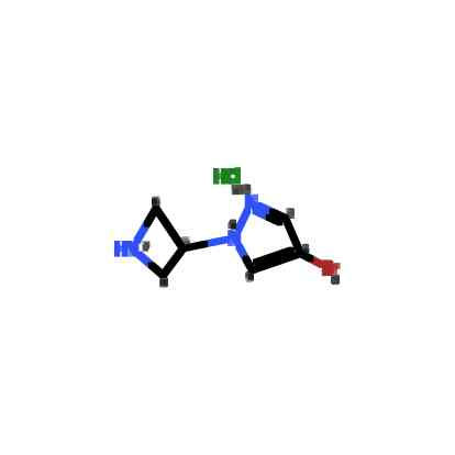 Brc1cnn(C2CNC2)c1.Cl